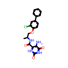 CC(COc1ccc(-c2ccccc2)cc1Cl)NC(=O)c1[nH]c(=O)[nH]c(=O)c1N